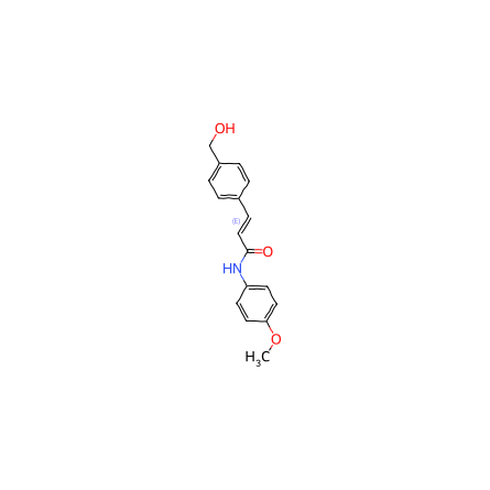 COc1ccc(NC(=O)/C=C/c2ccc(CO)cc2)cc1